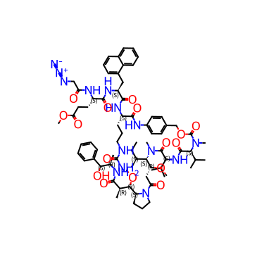 CC[C@H](C)[C@@H]([C@@H](CC(=O)N1CCC[C@H]1[C@H](OC)[C@@H](C)C(=O)N[C@H](C)[C@@H](O)c1ccccc1)OC)N(C)C(=O)[C@@H](NC(=O)[C@H](C(C)C)N(C)C(=O)OCc1ccc(NC(=O)[C@H](CCCNC(N)=O)NC(=O)[C@H](Cc2cccc3ccccc23)NC(=O)[C@H](CCC(=O)OC)NC(=O)CN=[N+]=[N-])cc1)C(C)C